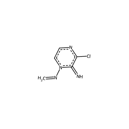 C=Nn1ccnc(Cl)c1=N